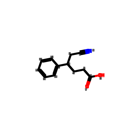 N#CCC(CCC(=O)O)c1ccccc1